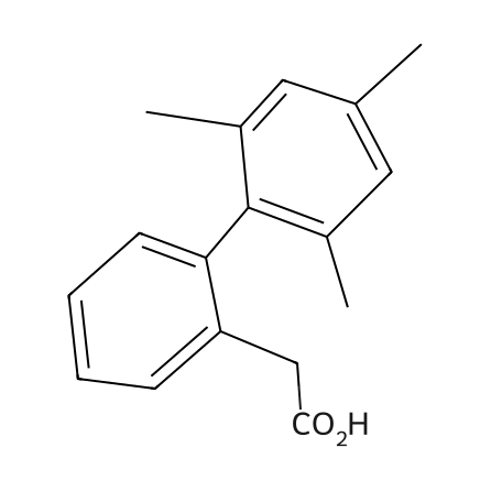 Cc1cc(C)c(-c2ccccc2CC(=O)O)c(C)c1